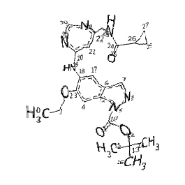 CCOc1cc2c(cnn2C(=O)OC(C)(C)C)cc1Nc1cc(NC(=O)C2CC2)ncn1